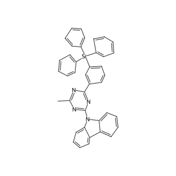 Cc1nc(-c2cccc([Si](c3ccccc3)(c3ccccc3)c3ccccc3)c2)nc(-n2c3ccccc3c3ccccc32)n1